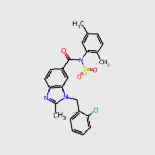 Cc1ccc(C)c(N(C(=O)c2ccc3nc(C)n(Cc4ccccc4Cl)c3c2)[SH](=O)=O)c1